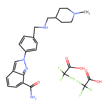 CN1CCC(CNCc2ccc(-n3cc4cccc(C(N)=O)c4n3)cc2)CC1.O=C(O)C(F)(F)F.O=C(O)C(F)(F)F